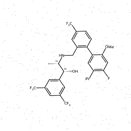 COc1cc(F)c(C(C)C)cc1-c1ccc(C(F)(F)F)cc1CN[C@@H](C)[C@H](O)c1cc(C(F)(F)F)cc(C(F)(F)F)c1